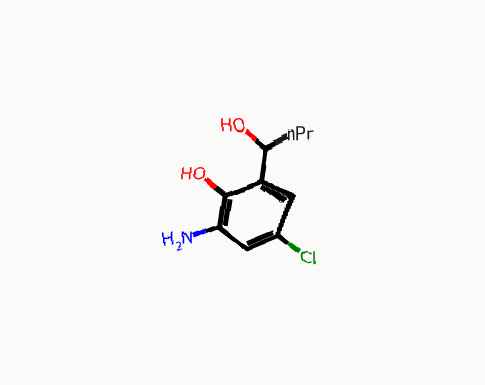 CCCC(O)c1cc(Cl)cc(N)c1O